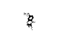 Bc1ccc2c(c1)OC(C)(C)C(=O)N2